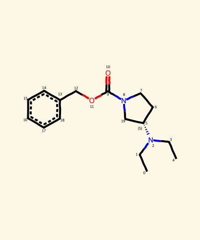 CCN(CC)[C@H]1CCN(C(=O)OCc2ccccc2)C1